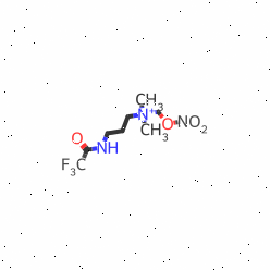 C[N+](C)(CCCNC(=O)C(F)(F)F)CO[N+](=O)[O-]